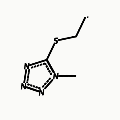 [CH2]CSc1nnnn1C